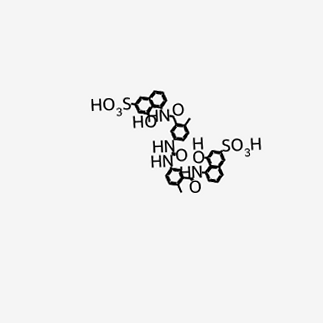 Cc1ccc(NC(=O)Nc2ccc(C)c(C(=O)Nc3cccc4cc(S(=O)(=O)O)cc(O)c34)c2)cc1C(=O)Nc1cccc2cc(S(=O)(=O)O)cc(O)c12